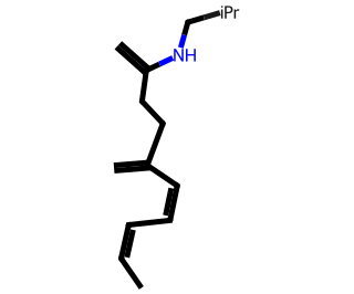 C=C(/C=C\C=C/C)CCC(=C)NCC(C)C